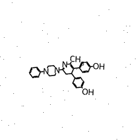 CC1=C(c2ccc(O)cc2)C(c2ccc(O)cc2)CC(N2CCN(c3ccccc3)CC2)=N1